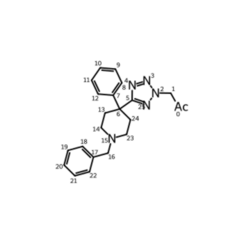 CC(=O)Cn1nnc(C2(c3ccccc3)CCN(Cc3ccccc3)CC2)n1